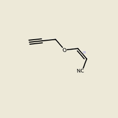 C#CCO/C=C\C#N